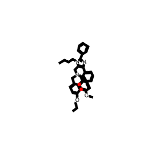 CCCCn1c(-c2ccccc2)nc(-c2ccccc2)c1CN(Cc1ccc(OC)cc1)Cc1ccc(OCCC)cc1